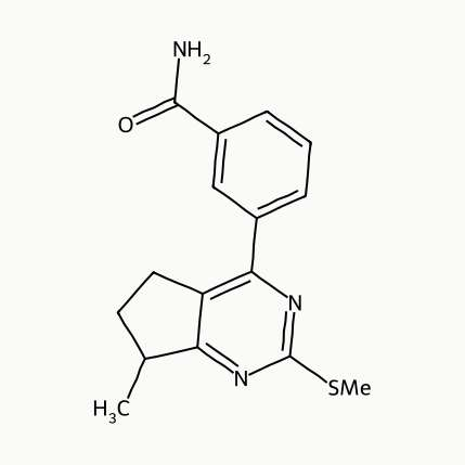 CSc1nc(-c2cccc(C(N)=O)c2)c2c(n1)C(C)CC2